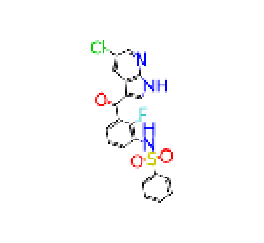 O=C(c1cccc(NS(=O)(=O)c2ccccc2)c1F)c1c[nH]c2ncc(Cl)cc12